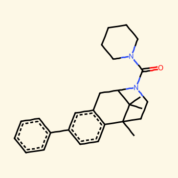 CC12CCN(C(=O)N3CCCCC3)C(Cc3cc(-c4ccccc4)ccc31)C2(C)C